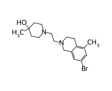 Cc1cc(Br)cc2c1CCN(CCN1CCC(C)(O)CC1)C2